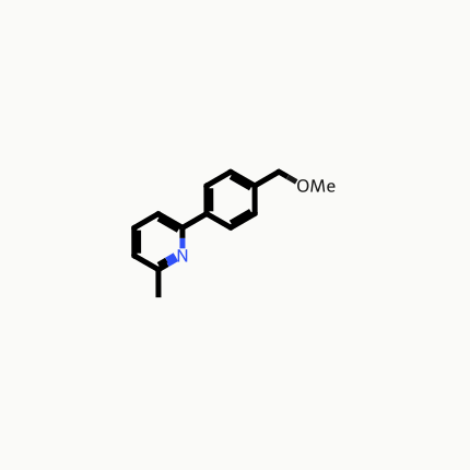 COCc1ccc(-c2cccc(C)n2)cc1